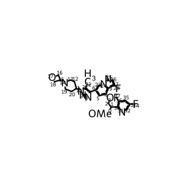 COC(COc1cc(-c2nnn(C3CCN(C4COC4)CC3)c2C)cn2ncc(F)c12)c1ncc(F)cc1F